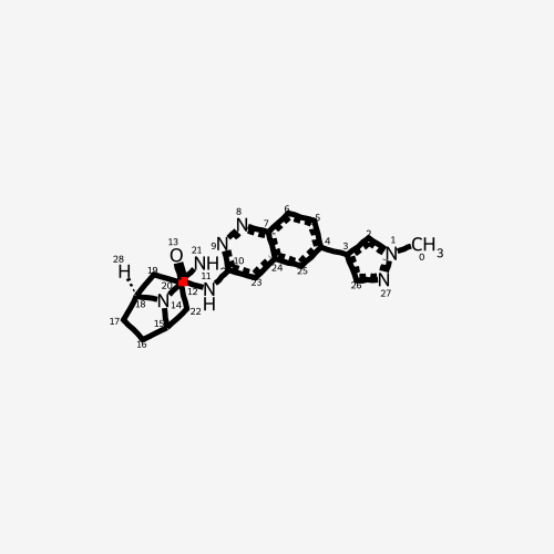 Cn1cc(-c2ccc3nnc(NC(=O)N4C5CC[C@H]4CC(N)C5)cc3c2)cn1